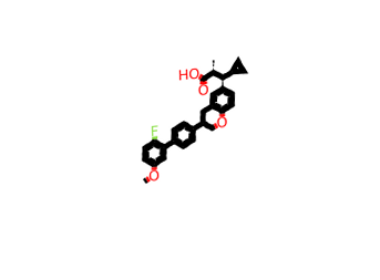 COc1ccc(F)c(-c2ccc(C3COc4ccc([C@@H](C5CC5)[C@@H](C)C(=O)O)cc4C3)cc2)c1